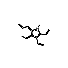 C=C/C=c1\c(=C/C)c(C=C)c(C=C)n1I